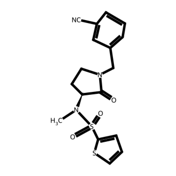 CN([C@H]1CCN(Cc2cccc(C#N)c2)C1=O)S(=O)(=O)c1cccs1